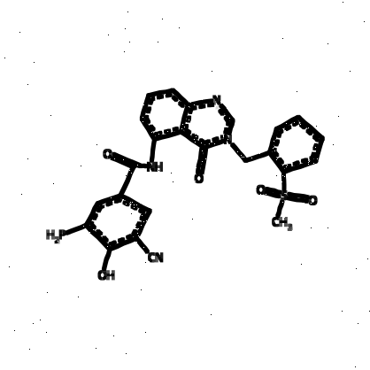 CS(=O)(=O)c1ccccc1Cn1cnc2cccc(NC(=O)c3cc(P)c(O)c(C#N)c3)c2c1=O